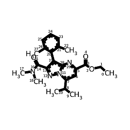 CCOC(=O)c1cc(C(C)C)n2nc(C(=O)N(C)C)c(-c3c(C)cccc3C)c2n1